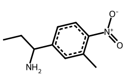 CCC(N)c1ccc([N+](=O)[O-])c(C)c1